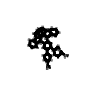 N#Cc1ccc(-c2cc(-n3c4ccccc4c4ccccc43)c(-n3c4ccccc4c4ccccc43)cc2-c2ccc(C#N)cc2)cc1